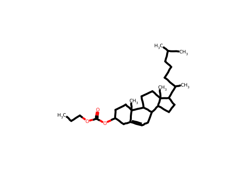 CCCOC(=O)OC1CCC2(C)C(=CCC3C2CCC2(C)C(C(C)CCCC(C)C)CCC32)C1